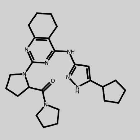 O=C(C1CCCN1c1nc2c(c(Nc3cc(C4CCCC4)[nH]n3)n1)CCCC2)N1CCCC1